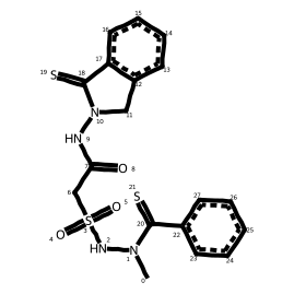 CN(NS(=O)(=O)CC(=O)NN1Cc2ccccc2C1=S)C(=S)c1ccccc1